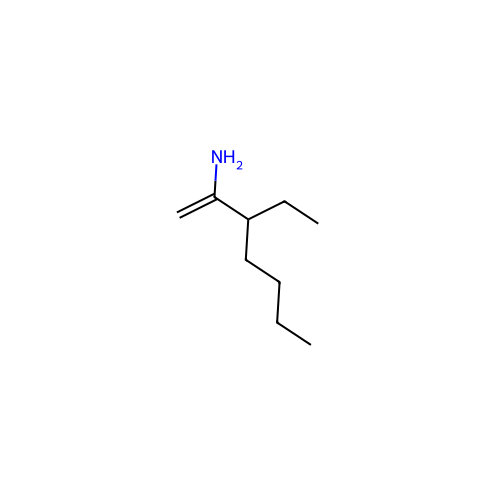 C=C(N)C(CC)CCCC